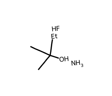 CCC(C)(C)O.F.N